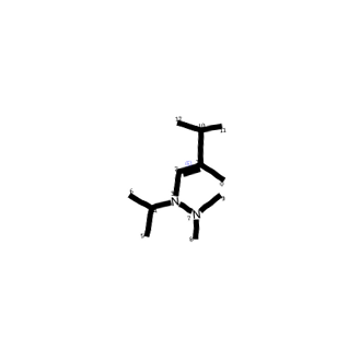 C/C(=C\N(C(C)C)N(C)C)C(C)C